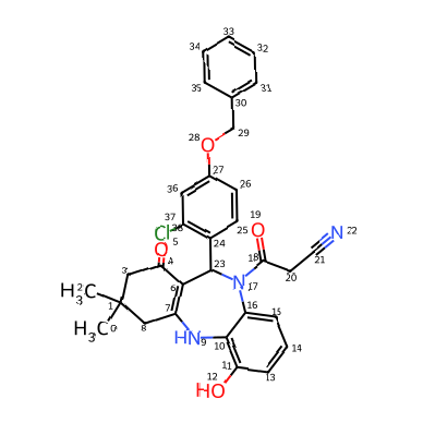 CC1(C)CC(=O)C2=C(C1)Nc1c(O)cccc1N(C(=O)CC#N)C2c1ccc(OCc2ccccc2)cc1Cl